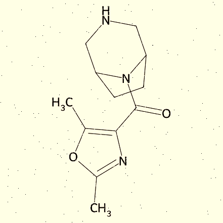 Cc1nc(C(=O)N2C3CCC2CNC3)c(C)o1